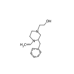 C=CN1CCN(CCO)CC1Cc1ccccc1